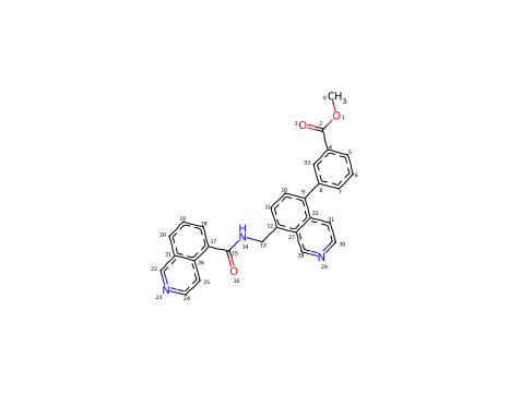 COC(=O)c1cccc(-c2ccc(CNC(=O)c3cccc4cnccc34)c3cnccc23)c1